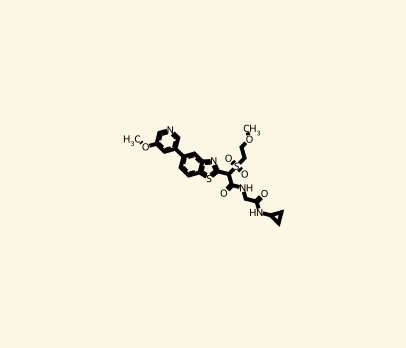 COCCS(=O)(=O)C(C(=O)NCC(=O)NC1CC1)c1nc2cc(-c3cncc(OC)c3)ccc2s1